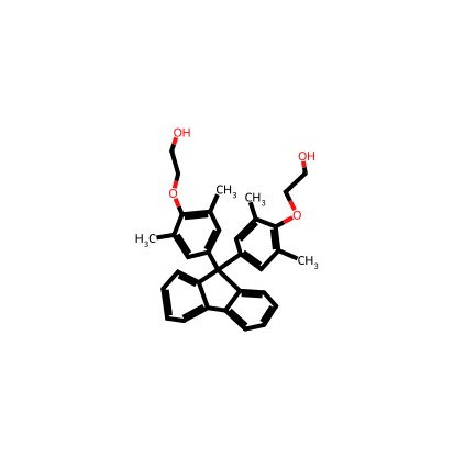 Cc1cc(C2(c3cc(C)c(OCCO)c(C)c3)c3ccccc3-c3ccccc32)cc(C)c1OCCO